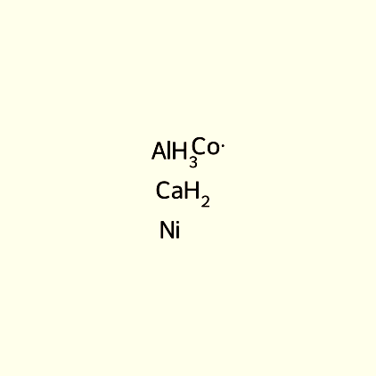 [AlH3].[CaH2].[Co].[Ni]